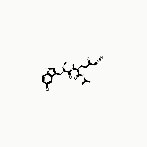 CO[C@@H](Cc1c[nH]c2ccc(Cl)cc12)C(=O)N[C@@H](CCC(=O)C=[N+]=[N-])C(=O)OC(C)C